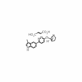 Cc1c[nH]c2ccc(-c3ccc(O[C@H]4CN5CCC4CC5)nn3)cc12.O=C(O)C=CC(=O)O